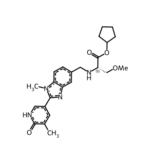 COC[C@H](NCc1ccc2c(c1)nc(-c1c[nH]c(=O)c(C)c1)n2C)C(=O)OC1CCCC1